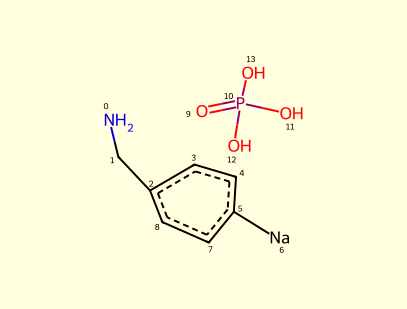 NCc1cc[c]([Na])cc1.O=P(O)(O)O